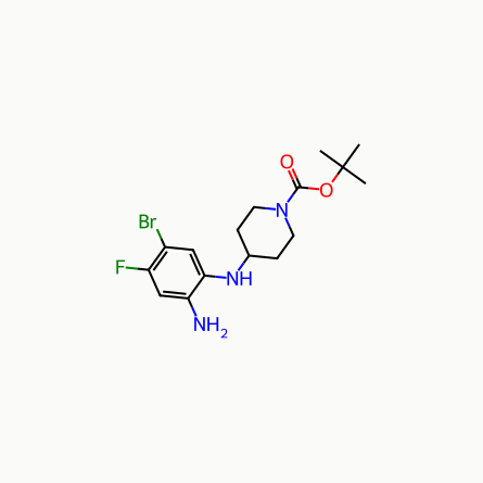 CC(C)(C)OC(=O)N1CCC(Nc2cc(Br)c(F)cc2N)CC1